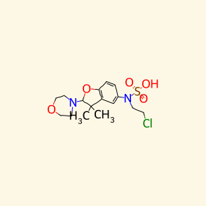 CC1(C)c2cc(N(CCCl)S(=O)(=O)O)ccc2OC1N1CCOCC1